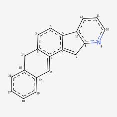 C1=c2c(ccc3c2=Cc2ncccc2-3)Cc2ccccc21